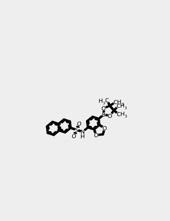 CC1(C)OB(c2ccc(NS(=O)(=O)c3ccc4ccccc4c3)c3c2OCO3)OC1(C)C